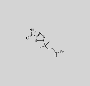 CC(C)NCCC(C)(C)c1nnc(C(N)=O)s1